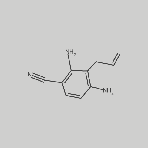 C=CCc1c(N)ccc(C#N)c1N